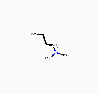 CSCC[SiH2]N(C)C(C)(C)C